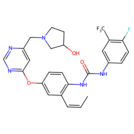 C/C=C\c1cc(Oc2cc(CN3CCC(O)C3)ncn2)ccc1NC(=O)Nc1ccc(F)c(C(F)(F)F)c1